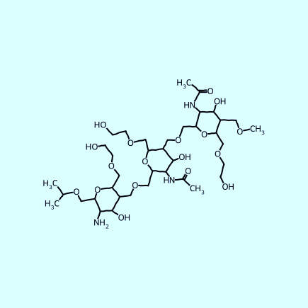 COCC1C(COCCO)OC(COCC2C(COCCO)OC(COCC3C(COCCO)OC(COC(C)C)C(N)C3O)C(NC(C)=O)C2O)C(NC(C)=O)C1O